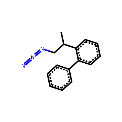 CC(CN=[N+]=[N-])c1ccccc1-c1ccccc1